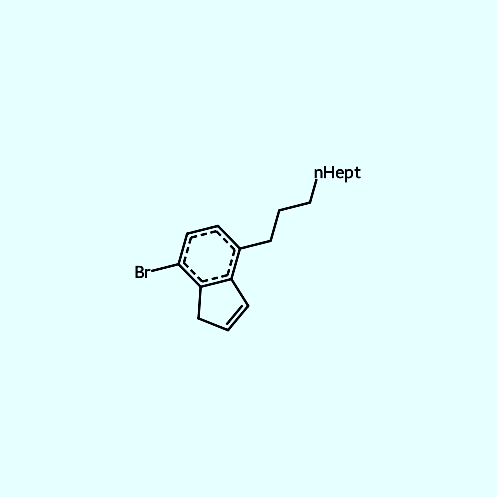 CCCCCCCCCCc1ccc(Br)c2c1C=CC2